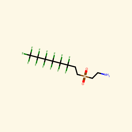 NCCS(=O)(=O)CCC(F)(F)C(F)(F)C(F)(F)C(F)(F)C(F)(F)C(F)(F)F